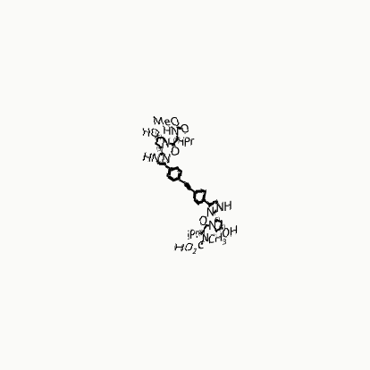 COC(=O)N[C@H](C(=O)N1C[C@@H](O)C[C@H]1c1nc(-c2ccc(C#Cc3ccc(-c4c[nH]c([C@@H]5C[C@H](O)CN5C(=O)[C@H](C(C)C)N(C)C(=O)O)n4)cc3)cc2)c[nH]1)C(C)C